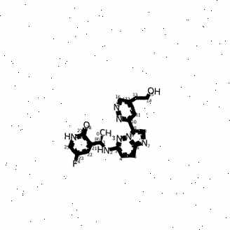 C[C@@H](Nc1ccc2ncc(-c3cc(CCO)cnn3)n2n1)c1cc(F)c[nH]c1=O